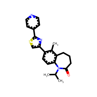 Cc1c(-c2csc(-c3ccncc3)n2)ccc2c1CCCC(=O)N2C(C)C